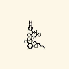 CCCCCCN(C(=O)N1CC(=O)N(C)C(c2cc[nH]c2)C1=O)C1C(Cl)=CC=CC1Cl